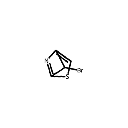 BrC1c2csc1n2